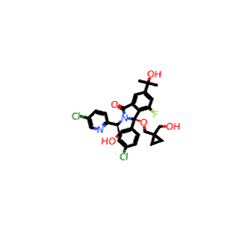 CC(C)(O)c1cc(F)c2c(c1)C(=O)N([C@@H](CO)c1ccc(Cl)cn1)[C@@]2(OCC1(CO)CC1)c1ccc(Cl)cc1